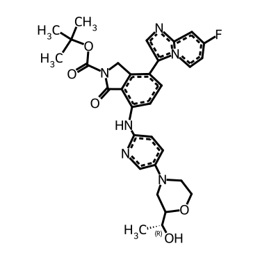 C[C@@H](O)C1CN(c2ccc(Nc3ccc(-c4cnc5cc(F)ccn45)c4c3C(=O)N(C(=O)OC(C)(C)C)C4)nc2)CCO1